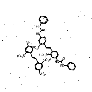 Nc1ccc(/C=C/c2ccc(N)cc2S(=O)(=O)O)c(S(=O)(=O)O)c1.O=C(Nc1ccccc1)Nc1ccc(/C=C/c2ccc(NC(=O)Nc3ccccc3)cc2S(=O)(=O)O)c(S(=O)(=O)O)c1